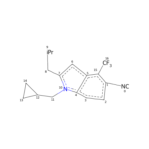 [C-]#[N+]c1ccc2c(cc(CC(C)C)n2CC2CC2)c1C(F)(F)F